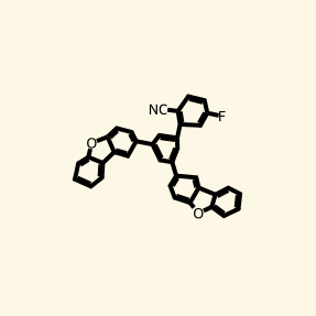 N#Cc1ccc(F)cc1-c1cc(-c2ccc3oc4ccccc4c3c2)cc(-c2ccc3oc4ccccc4c3c2)c1